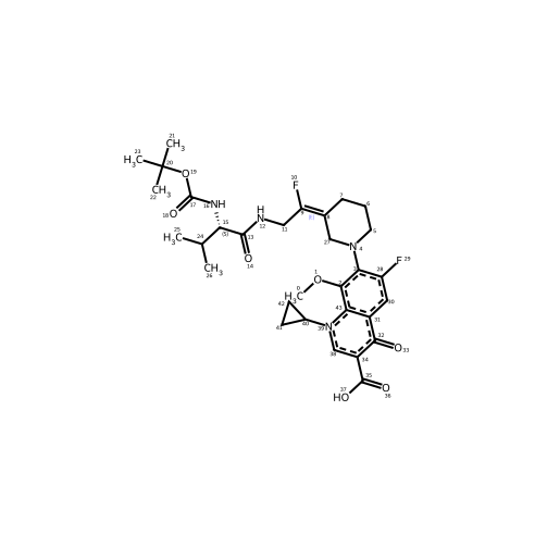 COc1c(N2CCC/C(=C(\F)CNC(=O)[C@@H](NC(=O)OC(C)(C)C)C(C)C)C2)c(F)cc2c(=O)c(C(=O)O)cn(C3CC3)c12